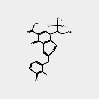 CC(C)(C)C(CO)n1cc(C(=O)O)c(=O)c2cc(Cc3cccc(Cl)c3F)ccc21